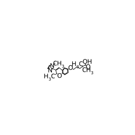 CC1Oc2ccc(OCCCC(C)(C)C(=O)O)cc2C=C1c1nccn1C